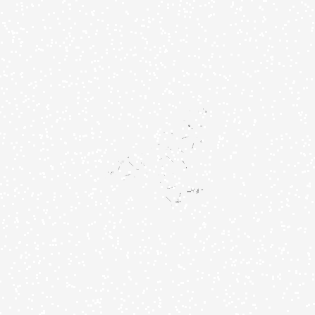 COc1cc(CN(Cc2cn3c4c(c(N5CCC(N)C5)c(F)cc4c2=O)OCC3C)[C@H]2CCCN(c3ccc(N)nc3)C2)ccn1.Cl